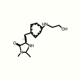 CC1N/C(=C\c2ccc(NCCO)cc2)C(=O)N1C